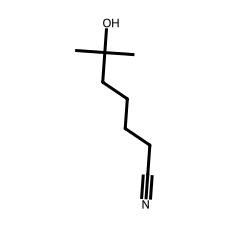 CC(C)(O)CCCCC#N